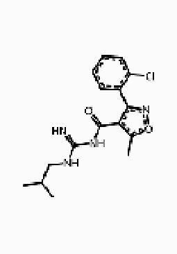 Cc1onc(-c2ccccc2Cl)c1C(=O)NC(=N)NCC(C)C